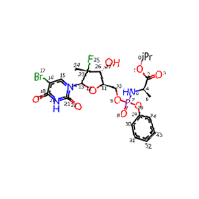 CC(C)OC(=O)[C@@H](C)NP(=O)(OC[C@H]1O[C@@H](n2cc(Br)c(=O)[nH]c2=O)[C@](C)(F)[C@@H]1O)Oc1ccccc1